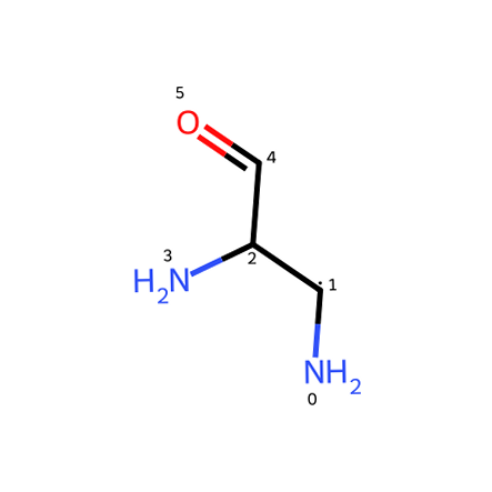 N[CH]C(N)C=O